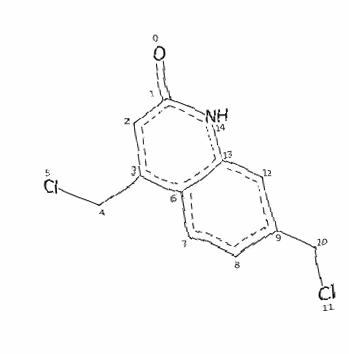 O=c1cc(CCl)c2ccc(CCl)cc2[nH]1